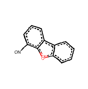 O=Nc1cccc2c1oc1ccccc12